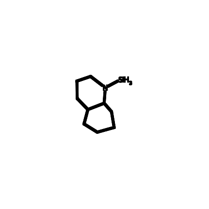 [SiH3]N1CCCC2CCCCC21